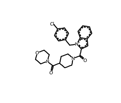 O=C(c1cc2ccccc2n1Cc1ccc(Cl)cc1)N1CCC(C(=O)N2CCOCC2)CC1